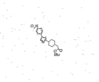 CC(C)(C)OC(=O)CC1CCC(c2ncc(-c3ccc([N+](=O)[O-])cc3)s2)CC1